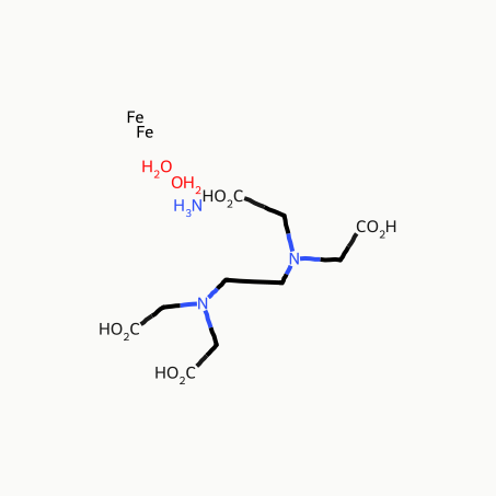 N.O.O.O=C(O)CN(CCN(CC(=O)O)CC(=O)O)CC(=O)O.[Fe].[Fe]